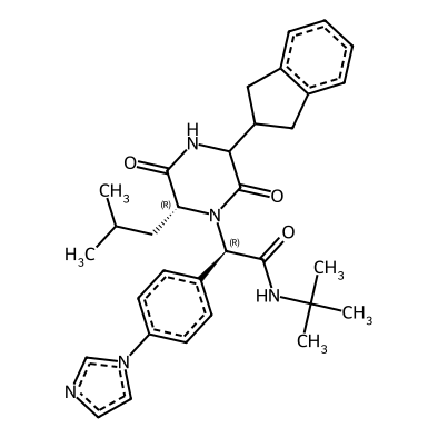 CC(C)C[C@@H]1C(=O)NC(C2Cc3ccccc3C2)C(=O)N1[C@@H](C(=O)NC(C)(C)C)c1ccc(-n2ccnc2)cc1